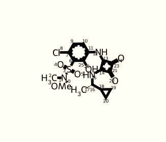 CON(C)S(=O)(=O)c1c(Cl)ccc(Nc2c(N[C@@H](C)C3CC3)c(=O)c2=O)c1O